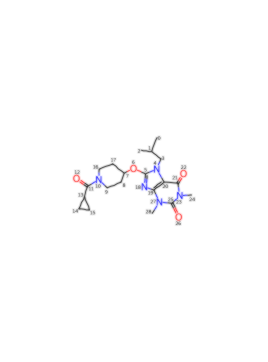 CC(C)Cn1c(OC2CCN(C(=O)C3CC3)CC2)nc2c1c(=O)n(C)c(=O)n2C